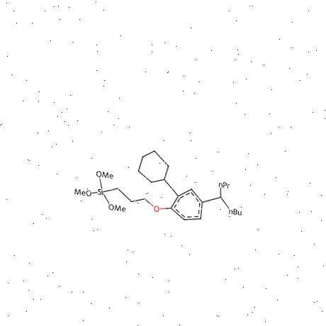 CCCCC(CCC)c1ccc(OCCC[Si](OC)(OC)OC)c(C2CCCCC2)c1